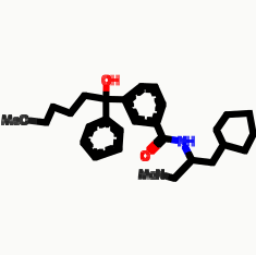 CNCC(CC1CCCCC1)NC(=O)c1cccc(C(O)(CCCCOC)c2ccccc2)c1